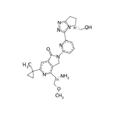 COC[C@@H](N)c1nc(C2(C)CC2)cc2c1CN(c1cccc(-c3nnc4n3[C@@H](CO)CC4)n1)C2=O